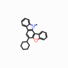 Cn1c2ccccc2c2cc(C3CCCCC3)c3oc4ccccc4c3c21